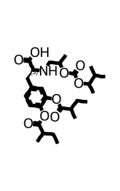 CCC(C)C(=O)Oc1ccc(C[C@H](NCC(C)OC(=O)OC(C)C(C)C)C(=O)O)cc1OC(=O)C(C)CC